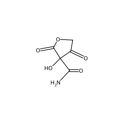 NC(=O)C1(O)C(=O)COC1=O